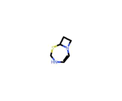 C1=CN2CCC2SCN1